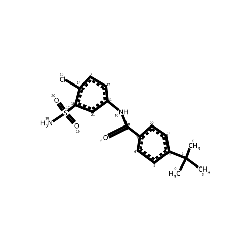 CC(C)(C)c1ccc(C(=O)Nc2ccc(Cl)c(S(N)(=O)=O)c2)cc1